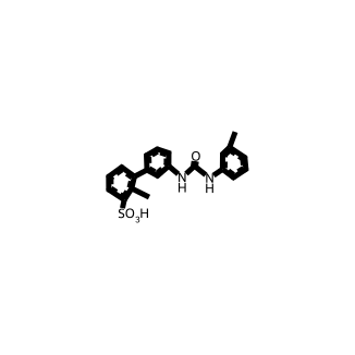 Cc1cccc(NC(=O)Nc2cccc(-c3cccc(S(=O)(=O)O)c3C)c2)c1